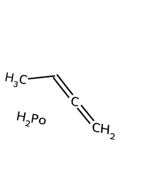 C=C=CC.[PoH2]